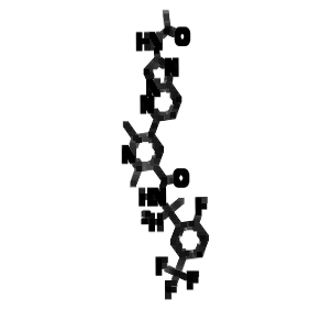 [2H]C(C)(NC(=O)c1cc(-c2ccc3nc(NC(C)=O)cn3n2)c(C)nc1C)c1cc(C(F)(F)F)ccc1F